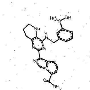 NC(=O)c1cccc2c(-c3nc4c(c(NCc5cccc(B(O)O)c5)n3)NCCC4)ncn12